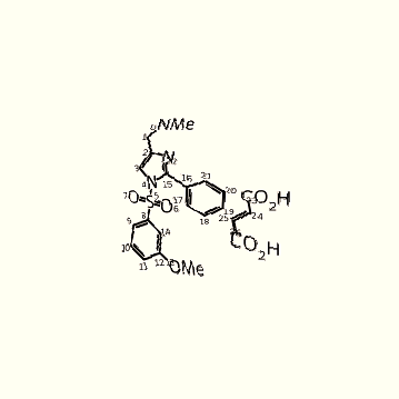 CNCc1cn(S(=O)(=O)c2cccc(OC)c2)c(-c2ccccc2)n1.O=C(O)/C=C/C(=O)O